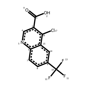 O=C(O)c1cnc2ccc(C(F)(F)F)cc2c1Cl